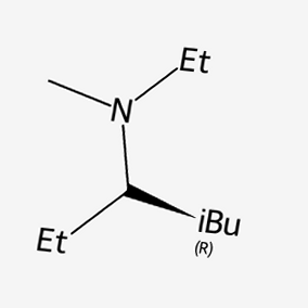 CCC([C@H](C)CC)N(C)CC